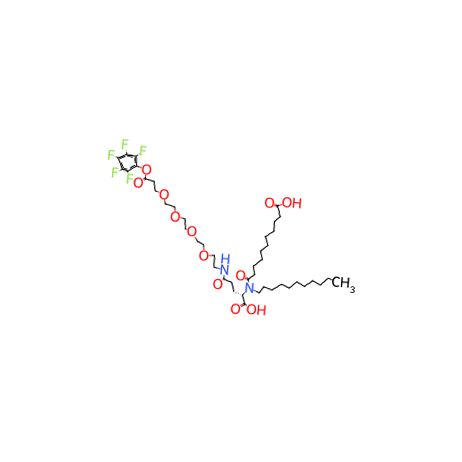 CCCCCCCCCCCN(C(=O)CCCCCCCCCC(=O)O)[C@@H](CCC(=O)NCCOCCOCCOCCOCCC(=O)Oc1c(F)c(F)c(F)c(F)c1F)C(=O)O